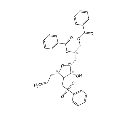 C=CC[C@@H]1O[C@H](C[C@@H](COC(=O)c2ccccc2)OC(=O)c2ccccc2)[C@H](O)C1CS(=O)(=O)c1ccccc1